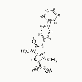 Cc1nc(N(C)C(=O)Cc2ccc(-c3ccccn3)cc2)sc1S(=N)O